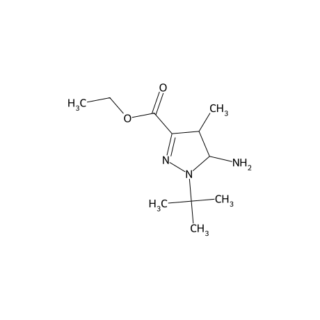 CCOC(=O)C1=NN(C(C)(C)C)C(N)C1C